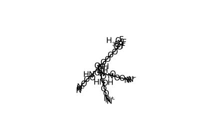 Cc1c(F)c(F)c(F)c(OC(=O)CCOCCOCCOCCOCCNC(=O)[C@H](CCCCNC(=O)CCOCCOCCN=[N+]=[N-])NC(=O)[C@H](CCCCNC(=O)CCOCCOCCN=[N+]=[N-])NC(=O)CCCNC(=O)CCOCCOCCN=[N+]=[N-])c1F